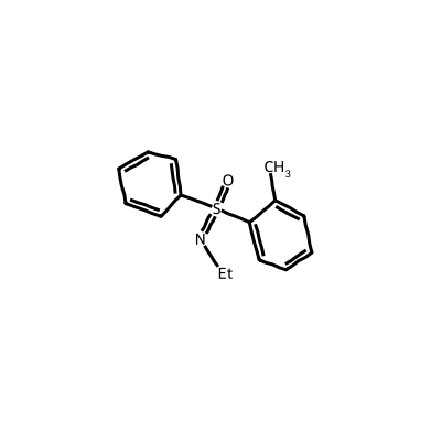 CCN=S(=O)(c1ccccc1)c1ccccc1C